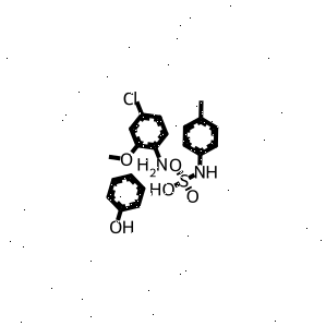 COc1cc(Cl)ccc1N.Cc1ccc(NS(=O)(=O)O)cc1.Oc1ccccc1